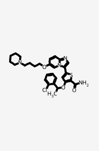 CC(Oc1cc(-c2cnc3ccc(OCCCCN4CCCCC4)cn23)sc1C(N)=O)c1ccccc1Cl